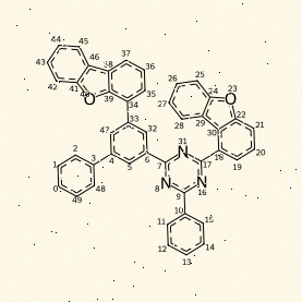 c1ccc(-c2cc(-c3nc(-c4ccccc4)nc(-c4cccc5oc6ccccc6c45)n3)cc(-c3cccc4c3oc3ccccc34)c2)cc1